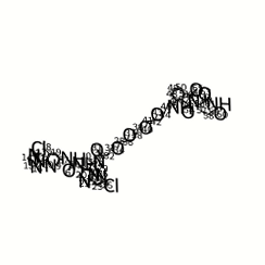 C[C@@H](c1c(NC(=O)Nc2cnc(-n3nccn3)c(Cl)c2)cnc2cc(Cl)nn12)N(C)C(=O)CCOCCOCCOCCOCCNc1cccc2c1C(=O)N(C1CCC(=O)NC1=O)C2=O